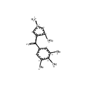 CSc1cn(C)cc1C(=O)c1cc(C(C)(C)C)c(O)c(C(C)(C)C)c1